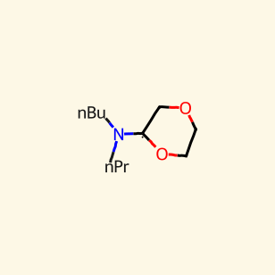 CCCCN(CCC)[C]1COCCO1